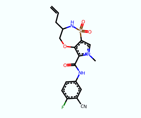 C=CCC1COc2c(cn(C)c2C(=O)Nc2ccc(F)c(C#N)c2)S(=O)(=O)N1